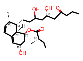 CCCC(=O)C[C@@H](O)CC(O)CC[C@@H]1[C@@H]2C(=C[C@@H](O)C[C@@H]2OC(=O)[C@@H](C)CC)C=C[C@@H]1C